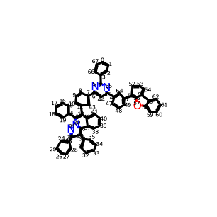 c1ccc(-c2nc(-c3cccc(-c4c(-c5ccccc5)n5nc(-c6ccccc6)c(-c6ccccc6)c5c5ccccc45)c3)cc(-c3cccc(-c4cccc5c4oc4ccccc45)c3)n2)cc1